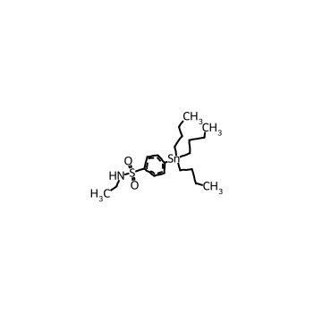 CCC[CH2][Sn]([CH2]CCC)([CH2]CCC)[c]1ccc(S(=O)(=O)NCC)cc1